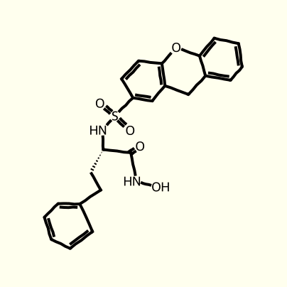 O=C(NO)[C@H](CCc1ccccc1)NS(=O)(=O)c1ccc2c(c1)Cc1ccccc1O2